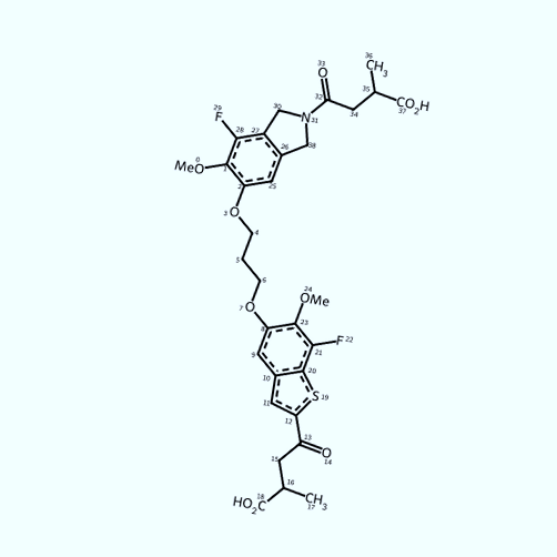 COc1c(OCCCOc2cc3cc(C(=O)CC(C)C(=O)O)sc3c(F)c2OC)cc2c(c1F)CN(C(=O)CC(C)C(=O)O)C2